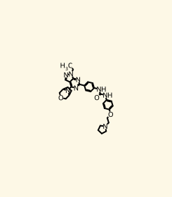 CCn1ncc2c(N3C4CCC3COC4)nc(-c3ccc(NC(=O)Nc4ccc(OCCN5CCCC5)cc4)cc3)nc21